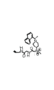 C#CCNC(=O)CNC(=O)[C@@H](C)N(C1CCN([C@H](C)c2cccc3ccccc23)CC1)S(C)(=O)=O